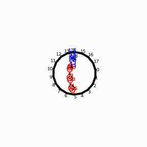 C1CCCCC2CCCCCCCCC(CCC1)NNOOOOOO2